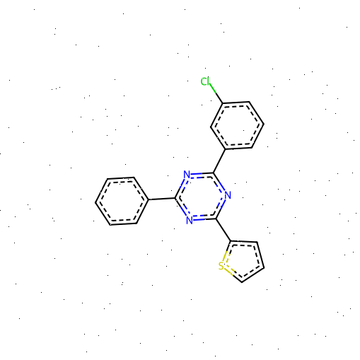 Clc1cccc(-c2nc(-c3ccccc3)nc(-c3cccs3)n2)c1